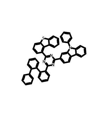 c1ccc(-c2ccccc2-c2ccccc2-c2nc(-c3ccc4c5ccccc5n(-c5ccccc5)c4c3)nc(-c3cccc4sc5ccccc5c34)n2)cc1